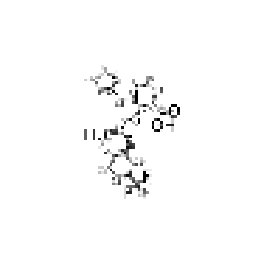 CC(CSC1C(C(=O)O)=CC=CN1Cc1cccs1)Sc1cccc(C(F)(F)F)c1